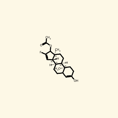 CC(=O)OC1C(F)=C[C@H]2[C@@H]3CCC4C=C(O)CC[C@]4(C)[C@@H]3CC[C@]12C